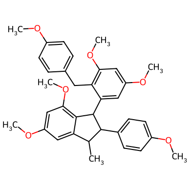 COc1ccc(Cc2c(OC)cc(OC)cc2C2c3c(OC)cc(OC)cc3C(C)C2c2ccc(OC)cc2)cc1